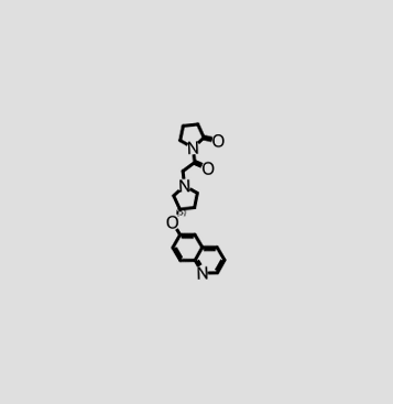 O=C1CCCN1C(=O)CN1CC[C@H](Oc2ccc3ncccc3c2)C1